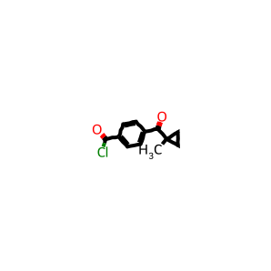 CC1(C(=O)c2ccc(C(=O)Cl)cc2)CC1